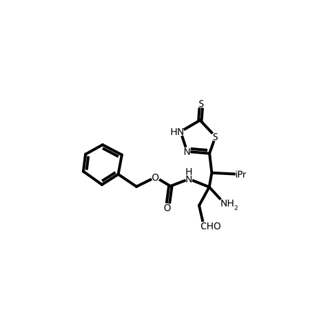 CC(C)C(c1n[nH]c(=S)s1)C(N)(CC=O)NC(=O)OCc1ccccc1